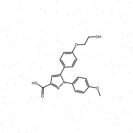 COc1ccc(-n2nc(C(=O)O)cc2-c2ccc(OCCO)cc2)cc1